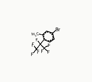 Cc1cc(Br)ccc1C(F)(C(F)(F)F)C(F)(F)F